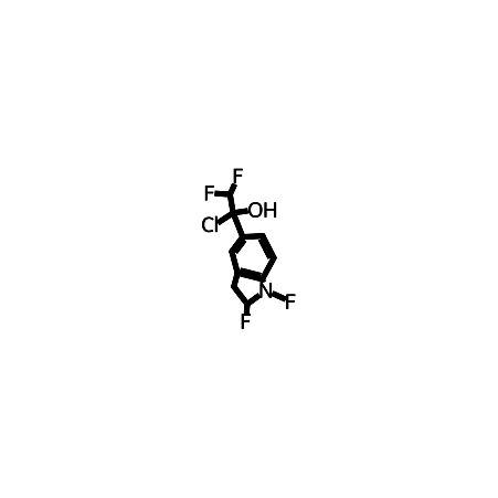 OC(Cl)(c1ccc2c(c1)CC(F)N2F)C(F)F